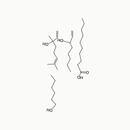 C=CC(C)(O)CCC=C(C)C.C=CC(O)CCCCC.CCCCCCCCCC(=O)O.CCCCCCO